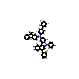 CC1(C)c2ccccc2-c2ccc(N(c3ccc(-c4ccccc4)cc3)c3ccc4c(c3)c3c5ccccc5c5c6ccccc6sc5c3n4-c3ccccc3)cc21